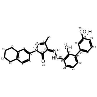 CC1=NN(c2ccc3c(c2)CCCC3)C(=O)/C1=N\Nc1cccc(-c2cccc(C(=O)O)c2)c1O